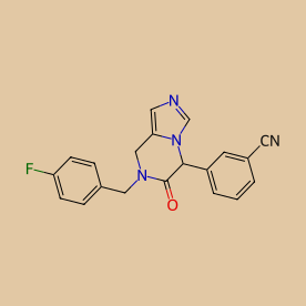 N#Cc1cccc(C2C(=O)N(Cc3ccc(F)cc3)Cc3cncn32)c1